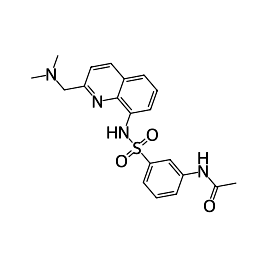 CC(=O)Nc1cccc(S(=O)(=O)Nc2cccc3ccc(CN(C)C)nc23)c1